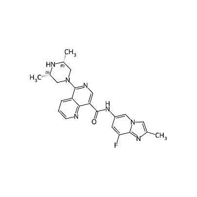 Cc1cn2cc(NC(=O)c3cnc(N4C[C@@H](C)N[C@@H](C)C4)c4cccnc34)cc(F)c2n1